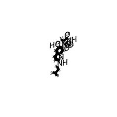 CC(C)CCNc1ccc2cc(O)c(N3C(C)C(=O)NS3(=O)=O)cc2n1